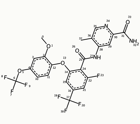 COc1cc(OC(F)(F)F)ccc1Oc1cc(C(F)(F)F)cc(F)c1C(=O)Nc1cc(C(N)=O)ncc1C